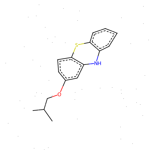 CC(C)COc1ccc2c(c1)Nc1ccccc1S2